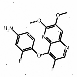 COc1cc2ncc(F)c(Oc3ccc(N)cc3F)c2nc1OC